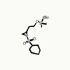 CC(C)(C)[Si](C)(C)OCCC1CN1S(=O)(=O)C1CCCCC1